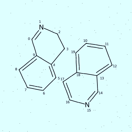 C1=NCCc2ccccc21.c1ccc2cnccc2c1